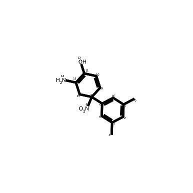 Cc1cc(C)cc(C2([N+](=O)[O-])C=CC(O)=C(N)C2)c1